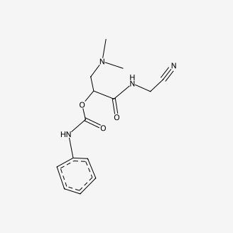 CN(C)CC(OC(=O)Nc1ccccc1)C(=O)NCC#N